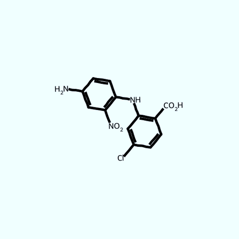 Nc1ccc(Nc2cc(Cl)ccc2C(=O)O)c([N+](=O)[O-])c1